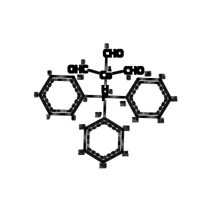 O=[CH][Co]([CH]=O)([CH]=O)[PH](c1ccccc1)(c1ccccc1)c1ccccc1